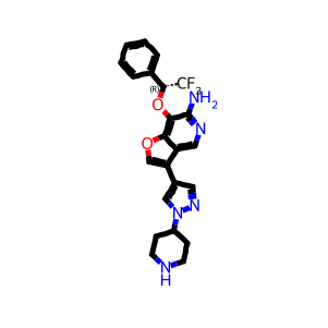 Nc1ncc2c(-c3cnn(C4CCNCC4)c3)coc2c1O[C@H](c1ccccc1)C(F)(F)F